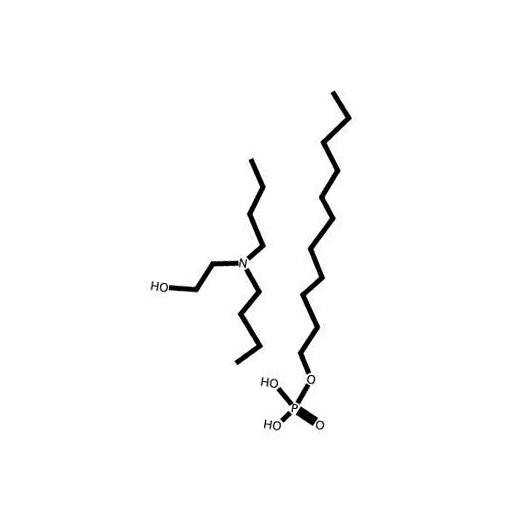 CCCCCCCCCCCOP(=O)(O)O.CCCCN(CCO)CCCC